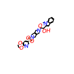 Cn1c(C(O)C(=O)N2CC3=C(C2)CN(S(=O)(=O)c2cnc4c(c2)OCCO4)C3)cc2ccccc21